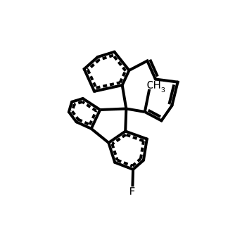 C\C1=C/C=C\C=C\c2ccccc2C12c1ccccc1-c1cc(F)ccc12